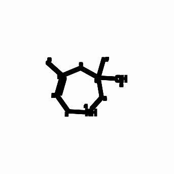 CC1=CCNCC(C)(O)C1